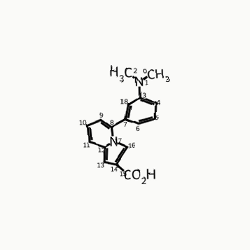 CN(C)c1cccc(-c2cccc3cc(C(=O)O)cn23)c1